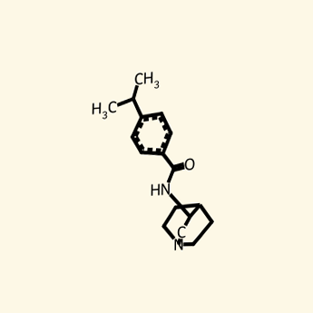 CC(C)c1ccc(C(=O)NC2CN3CCC2CC3)cc1